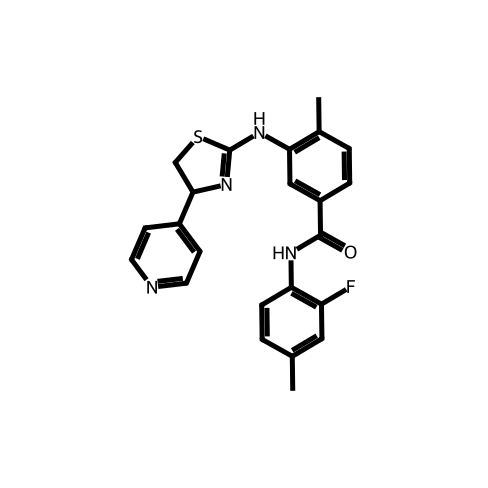 Cc1ccc(NC(=O)c2ccc(C)c(NC3=NC(c4ccncc4)CS3)c2)c(F)c1